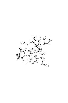 CCCOC(=O)[C@H](Cc1ccccc1)NP(=O)(CO[C@@H](COC)Cn1cc(C)c(=O)[nH]c1=O)N[C@@H](Cc1ccccc1)C(=O)OCCC